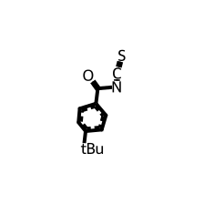 CC(C)(C)c1ccc(C(=O)N=C=S)cc1